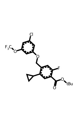 CC(C)(C)OC(=O)c1cc(C2CC2)c(COc2cc(Cl)cc(OC(F)(F)F)c2)cc1F